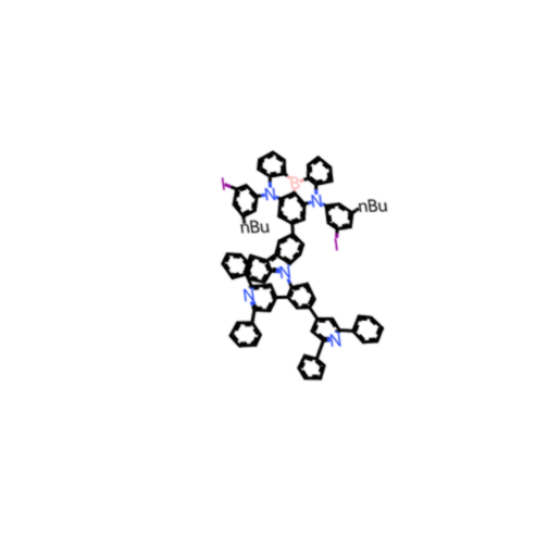 CCCCc1cc(I)cc(N2c3ccccc3B3c4ccccc4N(c4cc(I)cc(CCCC)c4)c4cc(-c5ccc6c(c5)c5ccccc5n6-c5ccc(-c6cc(-c7ccccc7)nc(-c7ccccc7)c6)cc5-c5cc(-c6ccccc6)nc(-c6ccccc6)c5)cc2c43)c1